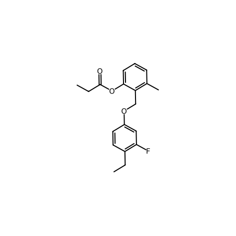 CCC(=O)Oc1cccc(C)c1COc1ccc(CC)c(F)c1